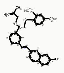 C=C(C)CO[C@H](COc1ccc(OC)cc1C(=O)O)c1cccc(/C=C/c2ccc3ccc(Cl)cc3n2)c1